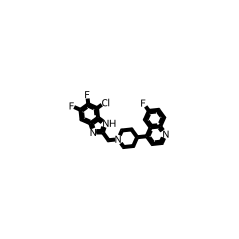 Fc1ccc2nccc(C3CCN(Cc4nc5cc(F)c(F)c(Cl)c5[nH]4)CC3)c2c1